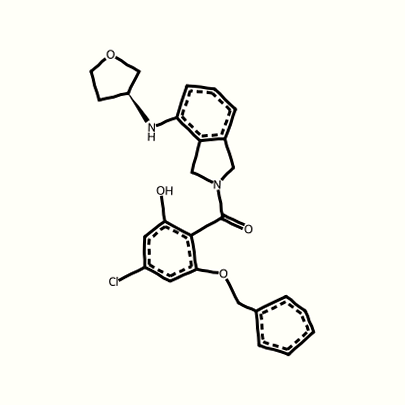 O=C(c1c(O)cc(Cl)cc1OCc1ccccc1)N1Cc2cccc(N[C@H]3CCOC3)c2C1